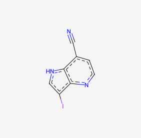 N#Cc1ccnc2c(I)c[nH]c12